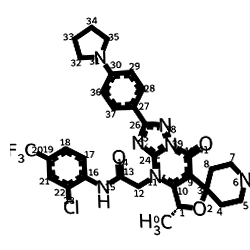 C[C@H]1OC2(CCNCC2)c2c1n(CC(=O)Nc1ccc(C(F)(F)F)cc1Cl)c1nc(-c3ccc(N4CCCC4)cc3)nn1c2=O